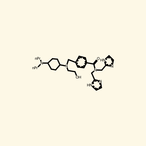 CCCN(CCC)C1CCC(N(CCO)Cc2ccc(C(=O)N(Cc3ncc[nH]3)Cc3ncc[nH]3)cc2)CC1